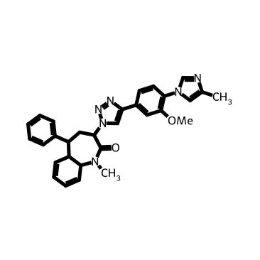 COc1cc(-c2cn(C3CC(c4ccccc4)C4C=CC=CC4N(C)C3=O)nn2)ccc1-n1cnc(C)c1